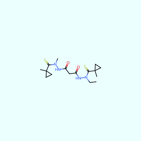 CCN(NC(=O)CC(=O)NN(C)C(=S)C1(C)CC1)C(=S)C1(C)CC1